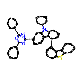 c1ccc(-c2nc(-c3ccccc3)nc(-c3ccc4c5c(-c6cccc7sc8ccccc8c67)cccc5n(-c5ccccc5)c4c3)n2)cc1